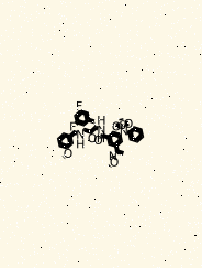 CO/N=C(\C)c1cc(C(=O)N[C@@H](Cc2cc(F)cc(F)c2)[C@H](O)CNCc2cccc(OC)c2)cc(N(c2ccccc2)S(C)(=O)=O)c1